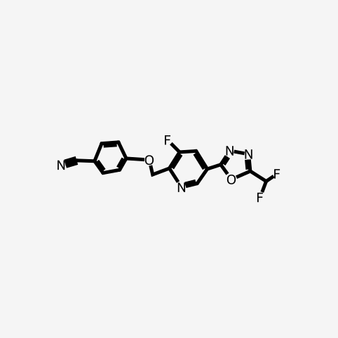 N#Cc1ccc(OCc2ncc(-c3nnc(C(F)F)o3)cc2F)cc1